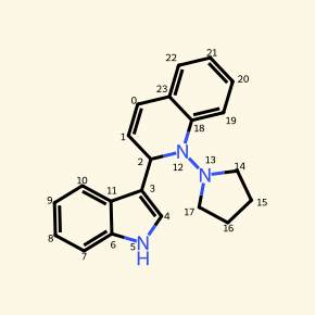 C1=CC(c2c[nH]c3ccccc23)N(N2CCCC2)c2ccccc21